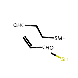 C=CC=O.CS.CSCCC=O